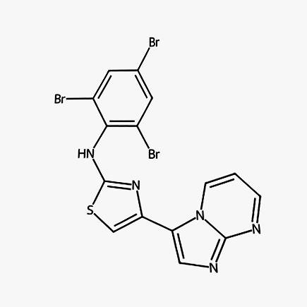 Brc1cc(Br)c(Nc2nc(-c3cnc4ncccn34)cs2)c(Br)c1